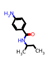 CCC(C)NC(=O)c1ccc(N)cc1